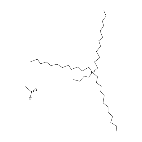 CC(=O)[O-].CCCCCCCCCCCC[N+](CCCC)(CCCCCCCCCCCC)CCCCCCCCCCCC